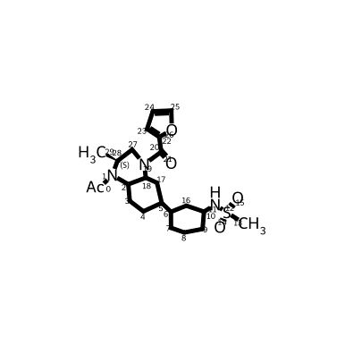 CC(=O)N1C2CCC(C3CCCC(NS(C)(=O)=O)C3)CC2N(C(=O)c2ccco2)C[C@@H]1C